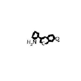 COc1ccc2c(c1)CCCC(c1ccccc1N)=C2